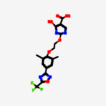 Cc1cc(-c2noc(C(F)(F)F)n2)cc(C)c1OCCOc1ncc(C(=O)O)c(O)n1